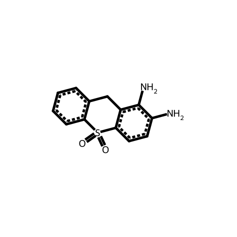 Nc1ccc2c(c1N)Cc1ccccc1S2(=O)=O